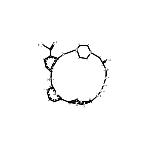 NC(=O)c1ccc2cc1CN1CCN(CC1)CC(=O)NCCCNc1ncc(cn1)-c1ccnc(c1)N2